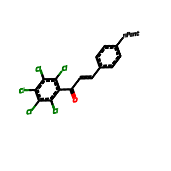 CCCCCc1ccc(C=CC(=O)c2c(Cl)c(Cl)c(Cl)c(Cl)c2Cl)cc1